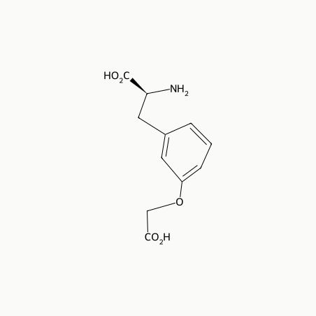 N[C@@H](Cc1cccc(OCC(=O)O)c1)C(=O)O